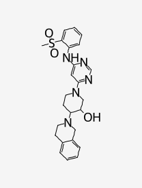 CS(=O)(=O)c1ccccc1Nc1cc(N2CCC(N3CCc4ccccc4C3)C(O)C2)ncn1